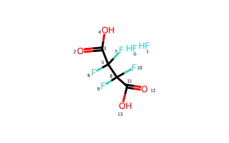 F.F.O=C(O)C(F)(F)C(F)(F)C(=O)O